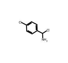 NC(Cl)c1ccc(Cl)cc1